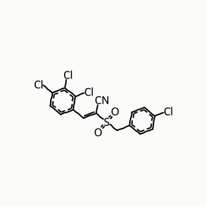 N#CC(=Cc1ccc(Cl)c(Cl)c1Cl)S(=O)(=O)Cc1ccc(Cl)cc1